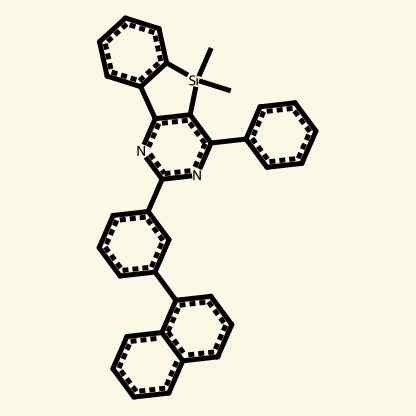 C[Si]1(C)c2ccccc2-c2nc(-c3cccc(-c4cccc5ccccc45)c3)nc(-c3ccccc3)c21